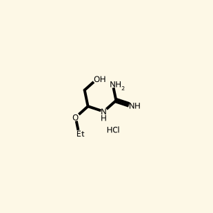 CCOC(CO)NC(=N)N.Cl